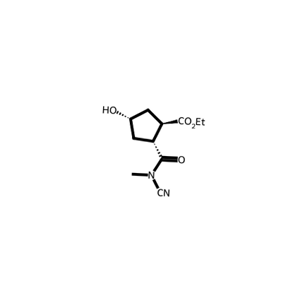 CCOC(=O)[C@@H]1C[C@@H](O)C[C@H]1C(=O)N(C)C#N